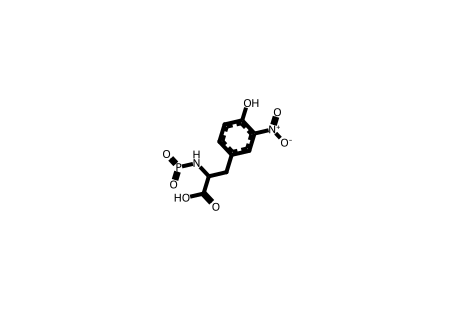 O=C(O)C(Cc1ccc(O)c([N+](=O)[O-])c1)NP(=O)=O